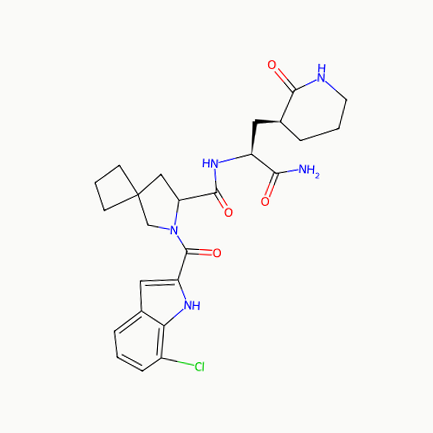 NC(=O)[C@H](C[C@@H]1CCCNC1=O)NC(=O)C1CC2(CCC2)CN1C(=O)c1cc2cccc(Cl)c2[nH]1